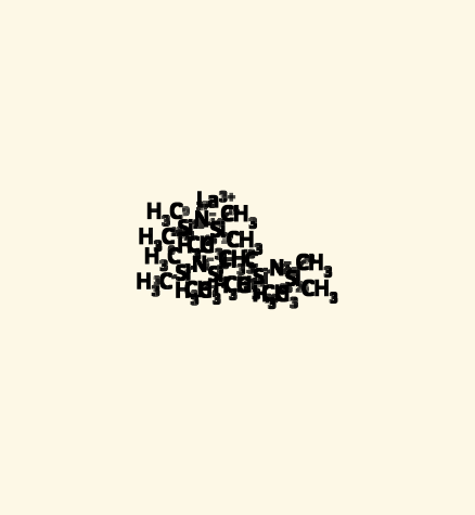 C[Si](C)(C)[N-][Si](C)(C)C.C[Si](C)(C)[N-][Si](C)(C)C.C[Si](C)(C)[N-][Si](C)(C)C.[La+3]